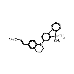 CC1(C)c2ccccc2-c2ccc(N3CCCc4cc(C=CC=O)ccc43)cc21